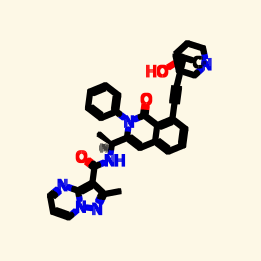 Cc1nn2cccnc2c1C(=O)N[C@@H](C)c1cc2cccc(C#CC3(O)CN4CCC3CC4)c2c(=O)n1-c1ccccc1